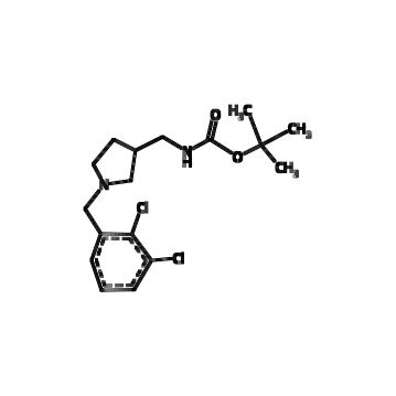 CC(C)(C)OC(=O)NCC1CCN(Cc2cccc(Cl)c2Cl)C1